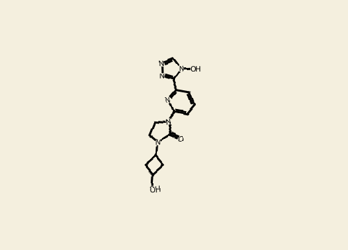 O=C1N(c2cccc(-c3nncn3O)n2)CCN1C1CC(O)C1